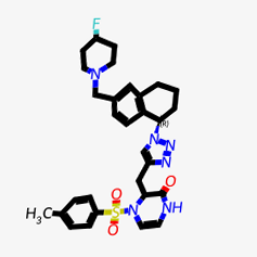 Cc1ccc(S(=O)(=O)N2C=CNC(=O)C2Cc2cn([C@@H]3CCCc4cc(CN5CCC(F)CC5)ccc43)nn2)cc1